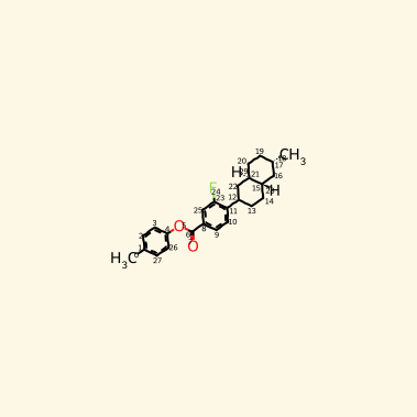 Cc1ccc(OC(=O)c2ccc(C3CC[C@H]4C[C@@H](C)CC[C@@H]4C3)c(F)c2)cc1